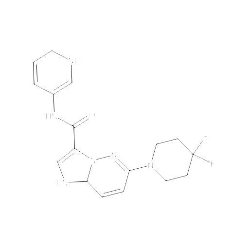 O=C(NC1=CNCC=C1)C1=CNC2C=CC(N3CCC(F)(F)CC3)=NN12